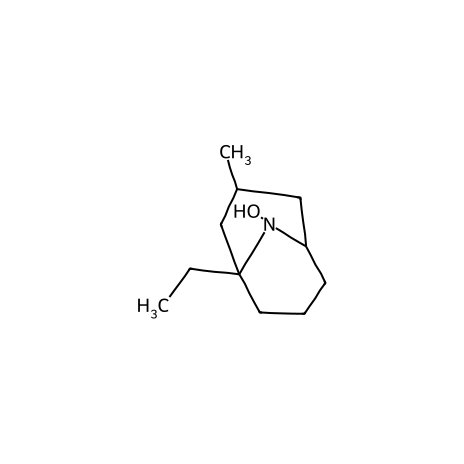 CCC12CCCC(CC(C)C1)N2O